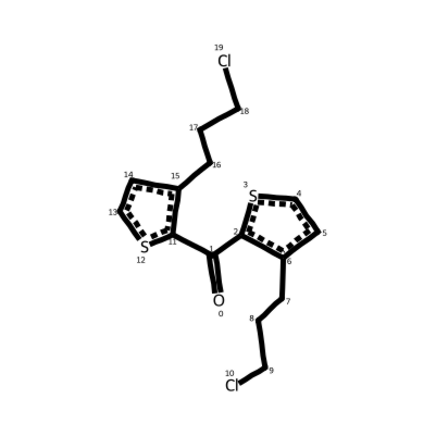 O=C(c1sccc1CCCCl)c1sccc1CCCCl